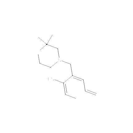 C=C/C=C(CN1CCOC(C)(C)C1)\C(N)=C/C